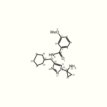 COc1cccc(C(=O)N[C@H](c2cn(C3(N)CC3)nn2)C2CCCCC2)c1